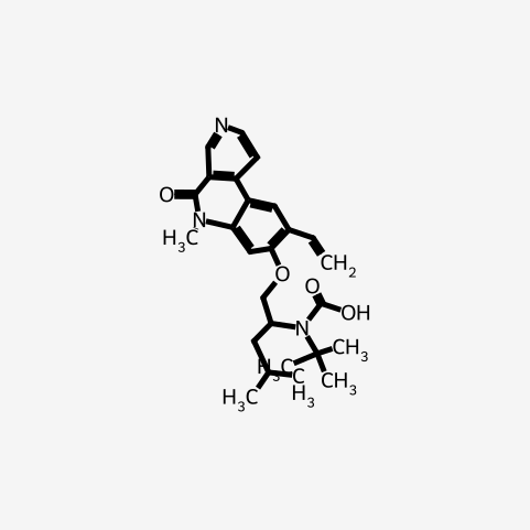 C=Cc1cc2c3ccncc3c(=O)n(C)c2cc1OCC(CC(C)C)N(C(=O)O)C(C)(C)C